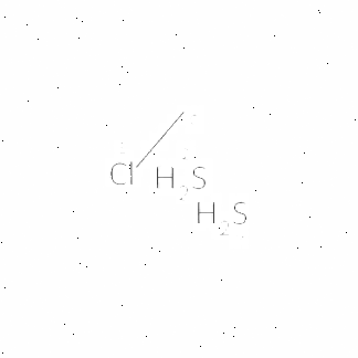 CCl.S.S